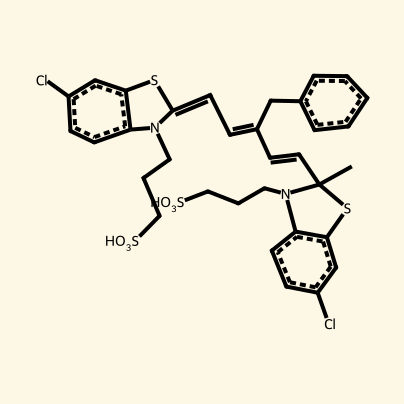 CC1(C=CC(=CC=C2Sc3cc(Cl)ccc3N2CCCS(=O)(=O)O)Cc2ccccc2)Sc2cc(Cl)ccc2N1CCCS(=O)(=O)O